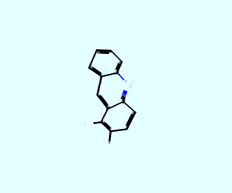 Cc1ccc2nc3ccccc3cc2c1C